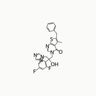 Cc1c(Cc2ccccc2)sc2ncn(CC(O)(Cn3cncn3)c3ccc(F)cc3F)c(=O)c12